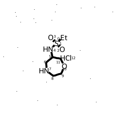 CCS(=O)(=O)NC1CNCCOC1.Cl